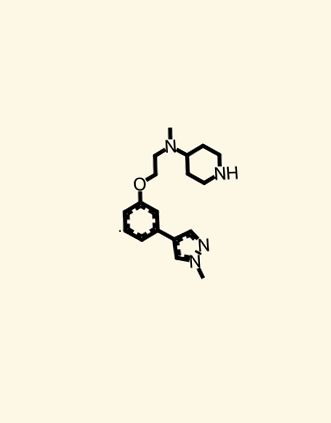 CN(CCOc1c[c]cc(-c2cnn(C)c2)c1)C1CCNCC1